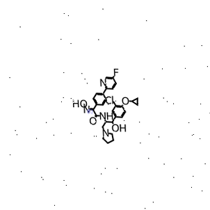 O=C(NC(CN1CCCC1)C(O)c1ccc(OC2CC2)c(Cl)c1)/C(=N/O)c1ccc(-c2ccc(F)cn2)cc1